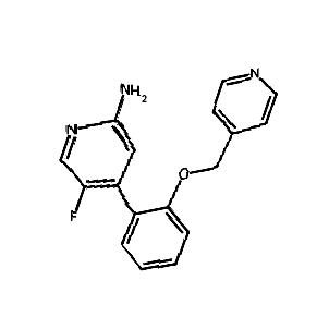 Nc1cc(-c2ccccc2OCc2ccncc2)c(F)cn1